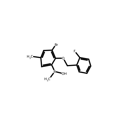 CB(O)c1cc(C)cc(Br)c1OCc1ccccc1F